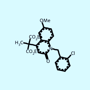 CCOC(=O)C(C)(C(=O)OCC)c1cc(=O)n(Cc2ccccc2Cl)c2ccc(OC)cc12